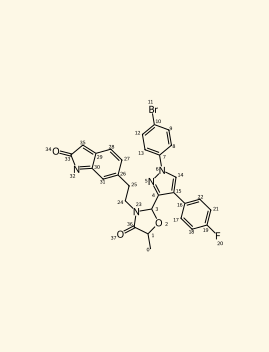 CC1OC(c2nn(-c3ccc(Br)cc3)cc2-c2ccc(F)cc2)N(CCc2ccc3c(c2)=NC(=O)C=3)C1=O